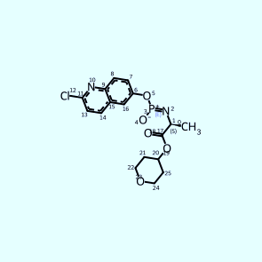 C[C@H](/N=[P+](\[O-])Oc1ccc2nc(Cl)ccc2c1)C(=O)OC1CCOCC1